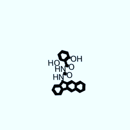 O=C(NC(=O)c1c(O)cccc1O)NC1c2ccccc2-c2cc3ccccc3cc21